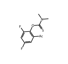 CC(=O)c1cc(F)cc(F)c1OC(=S)N(C)C